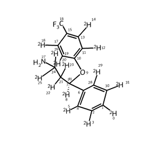 [2H]c1c([2H])c([2H])c([C@]([2H])(Oc2c([2H])c([2H])c(C(F)(F)F)c([2H])c2[2H])C([2H])([2H])C([2H])([2H])N)c([2H])c1[2H]